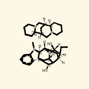 C1CCN2C[C@@H]3C[C@@H](CN4CCCC[C@@H]34)[C@H]2C1.CC[C@H]1[C@@H]2C[C@H]3[C@@H]4N(C)c5ccccc5[C@]45C[C@@H](C2[C@H]5O)N3[C@@H]1O